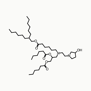 CCCCCCC(CCCCCC)COC(=O)CCCCCN(CCN1CCC(O)C1)CC(COC(=O)CCCCC)OC(=O)CCCCC